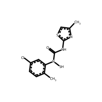 Cc1csc(NC(=O)N(S)c2cc(Cl)ccc2C)n1